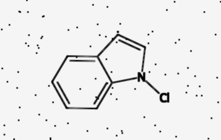 Cln1c[c]c2ccccc21